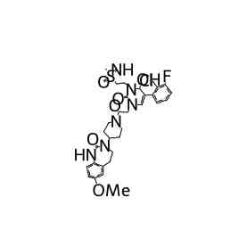 COc1ccc2c(c1)CCN(C1CCN(C(=O)CN3C=C(c4cccc(F)c4Cl)C(O)N(CCS(C)(=N)=O)C3=O)CC1)C(=O)N2